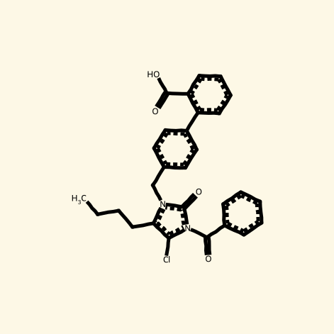 CCCCc1c(Cl)n(C(=O)c2ccccc2)c(=O)n1Cc1ccc(-c2ccccc2C(=O)O)cc1